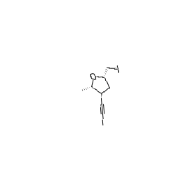 CC#CC1C[C@@H](CI)O[C@H]1C